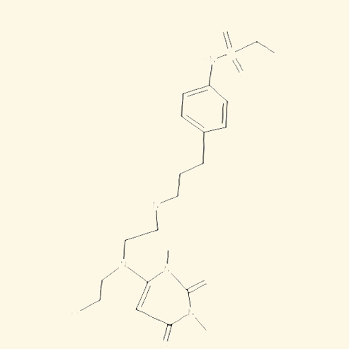 CCS(=O)(=O)Nc1ccc(CCCNCCN(CCO)c2cc(=O)n(C)c(=O)n2C)cc1